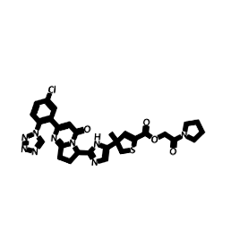 CC1(c2cnc(C3CCc4nc(-c5cc(Cl)ccc5-n5cnnn5)cc(=O)n43)[nH]2)C=C(C(=O)OCC(=O)N2CCCC2)SC1